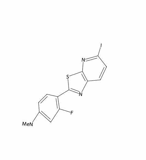 CNc1ccc(-c2nc3ccc(I)nc3s2)c(F)c1